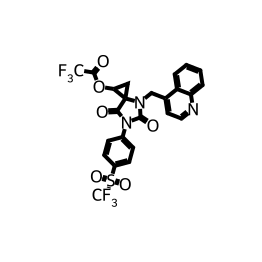 O=C1N(c2ccc(S(=O)(=O)C(F)(F)F)cc2)C(=O)C2(CC2OC(=O)C(F)(F)F)N1Cc1ccnc2ccccc12